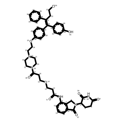 O=C1CCC(N2Cc3c(NC(=O)CCOCCC(=O)N4CCN(CCOc5ccc(C(=C(CCCl)c6ccccc6)c6ccc(O)cc6)cc5)CC4)cccc3C2=O)C(=O)N1